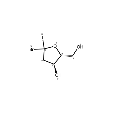 OC[C@H]1OC(Br)(I)C[C@@H]1O